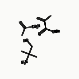 C=C(C)C(=O)O.C=C(C)C(=O)OC.CC(C)(N)CO